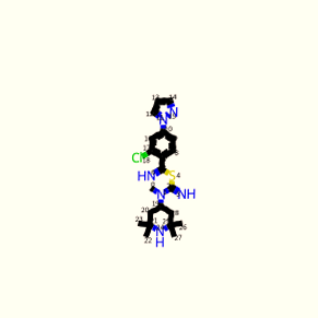 CN(C(=N)SC(=N)c1ccc(-n2cccn2)cc1Cl)C1CC(C)(C)NC(C)(C)C1